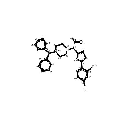 CC(=O)C(c1ccc(-c2ccc(F)cc2F)s1)N1CCN(C(c2ccccc2)c2ccccc2)CC1